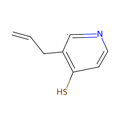 C=CCc1[c]nccc1S